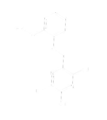 COc1ccccc1OCc1nc(C)c(C)nc1C